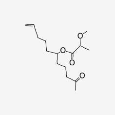 C=CCCCC(CCCC(C)=O)OC(=O)C(C)OC